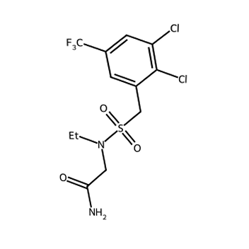 CCN(CC(N)=O)S(=O)(=O)Cc1cc(C(F)(F)F)cc(Cl)c1Cl